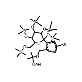 COC(C)(C)OCc1ccc(Br)cc1C1(O[Si](C)(C)C)OC(CO[Si](C)(C)C)C(O[Si](C)(C)C)C(O[Si](C)(C)C)C1O[Si](C)(C)C